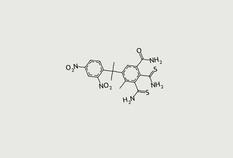 Cc1c(C(C)(C)c2ccc([N+](=O)[O-])cc2[N+](=O)[O-])cc(C(N)=O)c(C(N)=S)c1C(N)=S